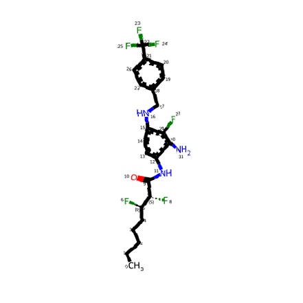 CCCCC[C@@H](F)[C@@H](F)C(=O)Nc1ccc(NCc2ccc(C(F)(F)F)cc2)c(F)c1N